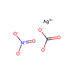 O=C([O-])[O-].O=[N+]([O-])[O-].[Ag+3]